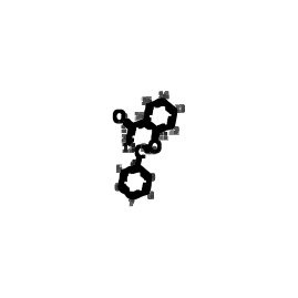 O=c1c[13c](-c2ccccc2)oc2ccccc12